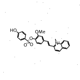 COc1cc(C=Cc2ccc3ccccc3[n+]2C)ccc1OS(=O)(=O)c1ccc(O)cc1